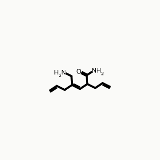 C=CCC(=CC(CC=C)C(N)=O)CN